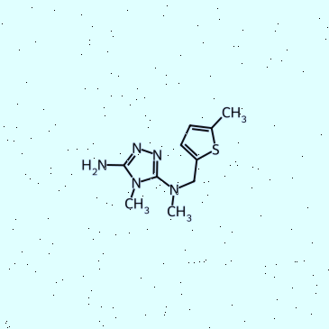 Cc1ccc(CN(C)c2nnc(N)n2C)s1